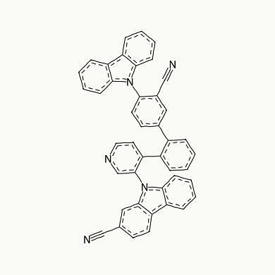 N#Cc1ccc2c3ccccc3n(-c3cnccc3-c3ccccc3-c3ccc(-n4c5ccccc5c5ccccc54)c(C#N)c3)c2c1